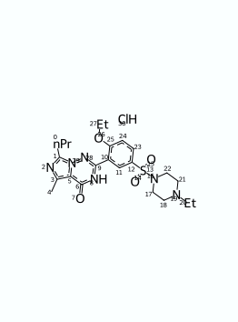 CCCc1nc(C)c2c(=O)[nH]c(-c3cc(S(=O)(=O)N4CCN(CC)CC4)ccc3OCC)nn12.Cl